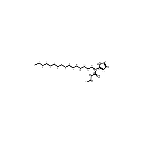 CCCCCCCCCCCCCCCCN(C(=O)CCC)c1cccs1